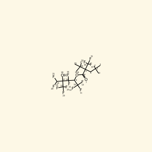 CC(C)(C)CC(C(=O)OC(C(F)(F)F)C(F)(F)C(O)(C(F)F)C(F)(F)F)(C(C)(C)C)C(F)(F)F